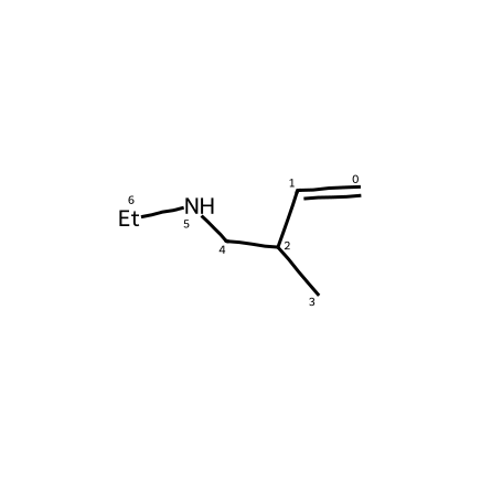 C=CC(C)CNCC